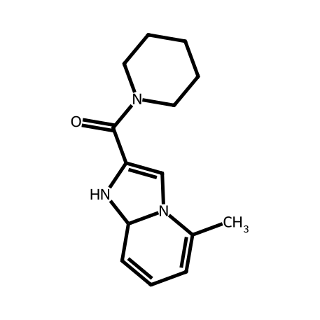 CC1=CC=CC2NC(C(=O)N3CCCCC3)=CN12